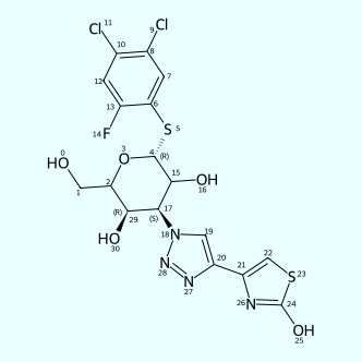 OCC1O[C@H](Sc2cc(Cl)c(Cl)cc2F)C(O)[C@@H](n2cc(-c3csc(O)n3)nn2)[C@H]1O